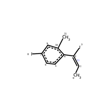 C/C=C(/I)c1ccc(I)cc1C